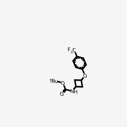 CC(C)(C)OC(=O)NC1CC(Oc2ccc(C(F)(F)F)cc2)C1